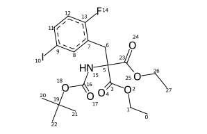 CCOC(=O)C(Cc1cc(I)ccc1F)(NC(=O)OC(C)(C)C)C(=O)OCC